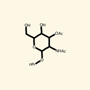 CCCOC1OC(CO)C(O)C(OC(C)=O)C1NC(C)=O